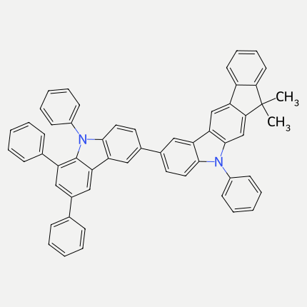 CC1(C)c2ccccc2-c2cc3c4cc(-c5ccc6c(c5)c5cc(-c7ccccc7)cc(-c7ccccc7)c5n6-c5ccccc5)ccc4n(-c4ccccc4)c3cc21